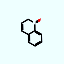 O=[Te]1CC=Cc2ccccc21